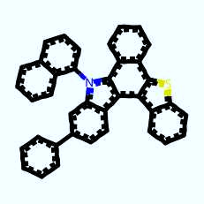 c1ccc(-c2ccc3c4c5c6ccccc6sc5c5ccccc5c4n(-c4cccc5ccccc45)c3c2)cc1